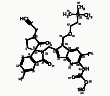 C#CCN1CC[C@@]2(C1=O)c1ccc(F)cc1C(=O)N2Cc1cc2nc(NC(=O)OC(C)(C)C)c(F)cc2n1COCC[Si](C)(C)C